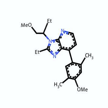 CCc1nc2c(-c3cc(C)c(OC)cc3C)ccnc2n1C(CC)COC